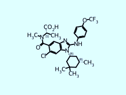 C[C@H]1C[C@@H](n2c(Nc3ccc(OC(F)(F)F)cc3)nc3cc(C(=O)N(C)[C@@H](C)C(=O)O)c(Cl)cc32)CC(C)(C)C1